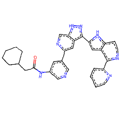 O=C(CC1CCCCC1)Nc1cncc(-c2cc3c(-c4cc5c(-c6ccccn6)nccc5[nH]4)n[nH]c3cn2)c1